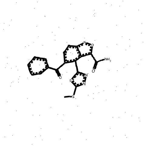 CSc1nnc(-c2c(C(=O)c3ccccc3)ccc3noc(C(N)=O)c23)s1